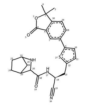 CC1(C)OC(=O)c2cc(-c3ccc(C[C@@H](C#N)NC(=O)C4NC5CCC4C5)s3)ccc21